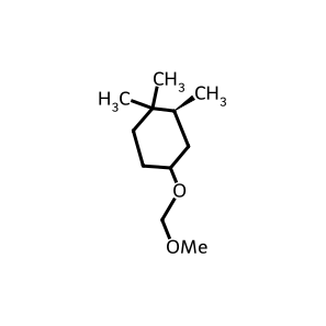 COCOC1CCC(C)(C)[C@@H](C)C1